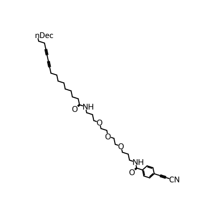 CCCCCCCCCCCCC#CC#CCCCCCCCCC(=O)NCCCOCCOCCOCCCNC(=O)c1ccc(C#CC#N)cc1